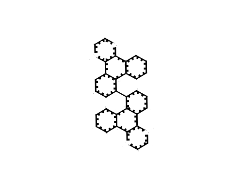 c1ccc2c(c1)c1nccnc1c1cccc(-c3cccc4c5nccnc5c5ccccc5c34)c21